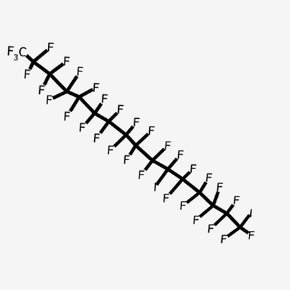 FC(F)(F)C(F)(F)C(F)(F)C(F)(F)C(F)(F)C(F)(F)C(F)(F)C(F)(F)C(F)(F)C(F)(F)C(F)(I)C(F)(F)C(F)(F)C(F)(F)C(F)(F)C(F)(F)I